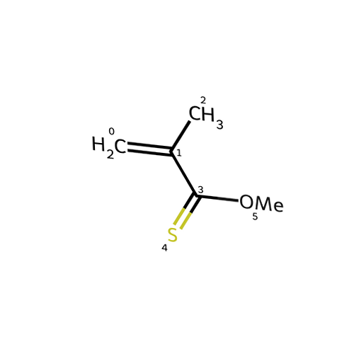 C=C(C)C(=S)OC